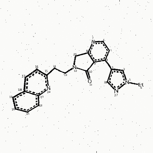 CCn1cc(-c2ccnc3c2C(=O)N(CCc2ccc4ccccc4n2)C3)cn1